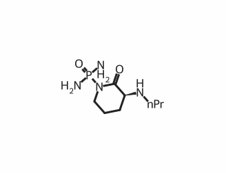 CCCN[C@H]1CCCN(P(N)(N)=O)C1=O